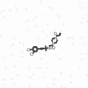 C=CC(=O)N1CCN(C(=O)CNC(C)(C)C#Cc2ccc(Cl)c(Cl)c2)CC1